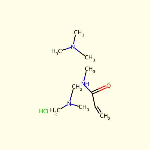 C=CC(=O)NC.CN(C)C.CN(C)C.Cl